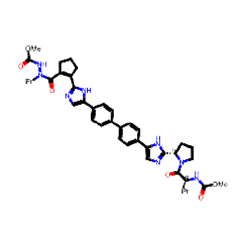 COC(=O)N[C@H](C(=O)N1CCC[C@H]1c1ncc(-c2ccc(-c3ccc(-c4cnc(C5=C(C(=O)N(NC(=O)OC)C(C)C)CCC5)[nH]4)cc3)cc2)[nH]1)C(C)C